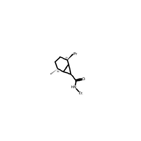 CCNC(=O)C1C2C1[C@H](C)CC[C@H]2C(C)C